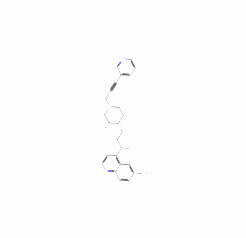 COc1ccc2nccc(C(O)CC[C@@H]3CCN(CC#Cc4cccnc4)C[C@@H]3C(=O)O)c2c1